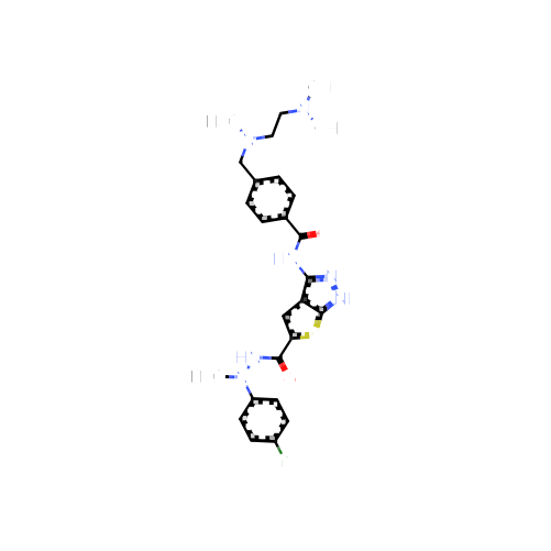 CN(C)CCN(C)Cc1ccc(C(=O)Nc2n[nH]c3sc(C(=O)NN(C)c4ccc(Cl)cc4)cc23)cc1